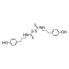 Oc1ccc(CCCNC(=S)SSC(=S)NCCCc2ccc(O)cc2)cc1